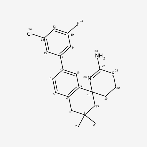 CC1(C)Cc2ccc(-c3cc(F)cc(Cl)c3)cc2C2(CCSC(N)=N2)C1